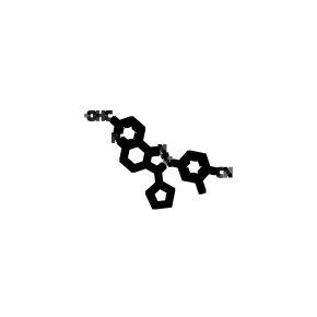 Cc1cc(N2N=C3c4ccc([C]=O)nc4CCC3C2C2CCCC2)ccc1C#N